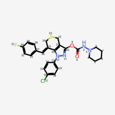 O=C(NN1CCCCC1)Oc1nn(-c2ccc(Cl)cc2)c2c1CSC/C2=C\c1ccc(F)cc1